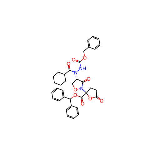 O=C1CCC(C(=O)OC(c2ccccc2)c2ccccc2)(N2OC[C@H](N(NC(=O)OCc3ccccc3)C(=O)C3CCCCC3)C2=O)O1